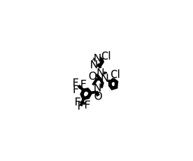 O=C(c1cc(C(F)(F)F)cc(C(F)(F)F)c1)N1CCC2(CC1)C(=O)N(c1cc(Cl)ncn1)CN2c1ccccc1Cl